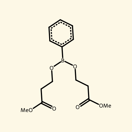 COC(=O)CCOB(OCCC(=O)OC)c1ccccc1